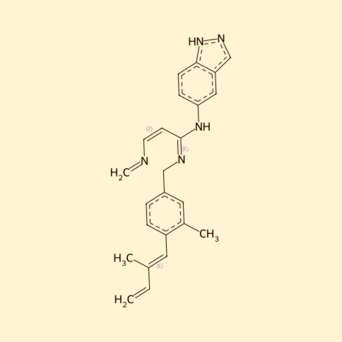 C=C/C(C)=C/c1ccc(C/N=C(\C=C/N=C)Nc2ccc3[nH]ncc3c2)cc1C